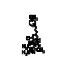 Cc1nn(C)c(C)c1N(C(F)F)[S+]([O-])c1c(Cl)cc(CCCN2CCCN(C)CC2)cc1Cl